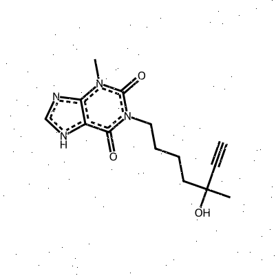 C#CC(C)(O)CCCCn1c(=O)c2[nH]cnc2n(C)c1=O